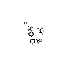 O=C(O)C(F)(F)F.O=S(=O)(NCCO)c1ccc(-c2ccnc3[nH]c(C(F)(F)F)cc23)cc1